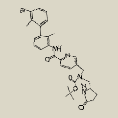 Cc1c(Br)cccc1-c1cccc(NC(=O)c2ccc(CN(C[C@@H]3CCC(=O)N3)C(=O)OC(C)(C)C)cn2)c1C